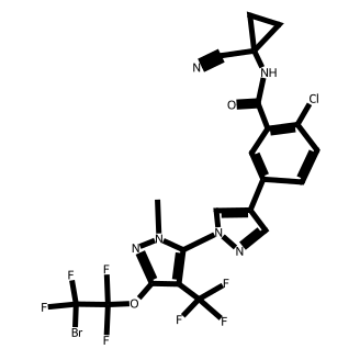 Cn1nc(OC(F)(F)C(F)(F)Br)c(C(F)(F)F)c1-n1cc(-c2ccc(Cl)c(C(=O)NC3(C#N)CC3)c2)cn1